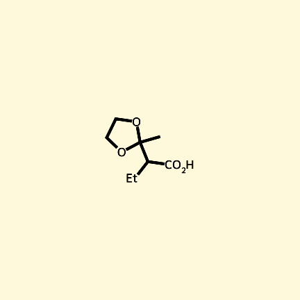 CCC(C(=O)O)C1(C)OCCO1